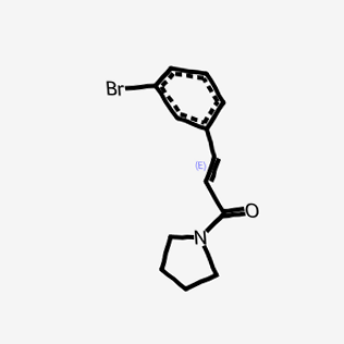 O=C(/C=C/c1cccc(Br)c1)N1CCCC1